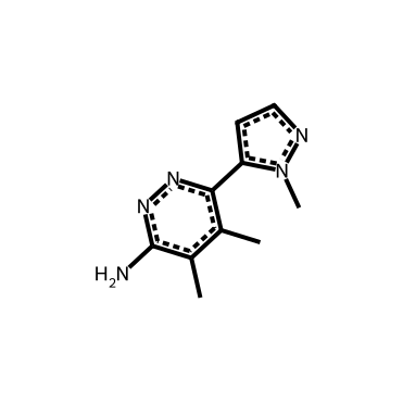 Cc1c(N)nnc(-c2ccnn2C)c1C